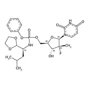 CC(C)C[C@H](NP(=O)(OC[C@H]1O[C@@H](n2ccc(=O)[nH]c2=O)[C@](C)(F)[C@@H]1O)Oc1ccccc1)C1OCCO1